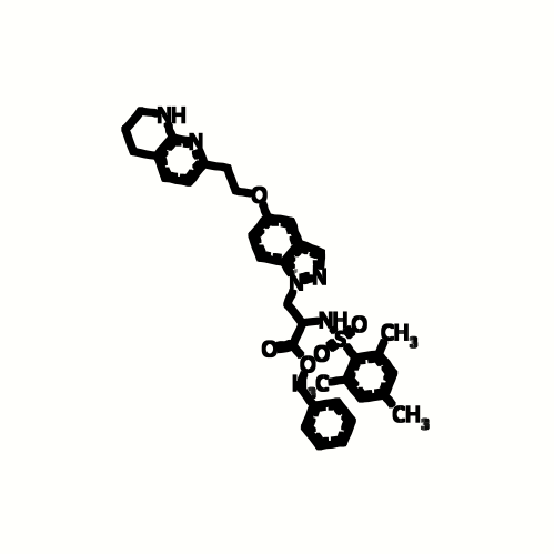 Cc1cc(C)c(S(=O)(=O)NC(Cn2ncc3cc(OCCc4ccc5c(n4)NCCC5)ccc32)C(=O)OCc2ccccc2)c(C)c1